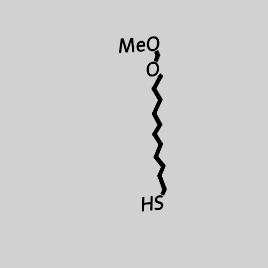 COCOCCCCCCCCCCCS